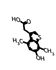 Cc1c(O)cc(C)c2c(CC(=O)O)csc12